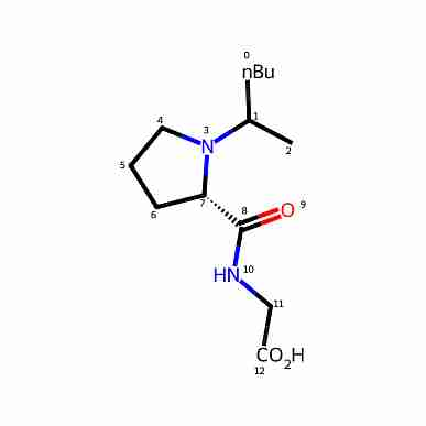 CCCCC(C)N1CCC[C@H]1C(=O)NCC(=O)O